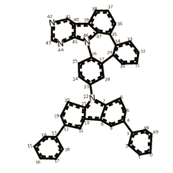 c1ccc(-c2ccc3c(c2)c2cc(-c4ccccc4)ccc2n3-c2ccc3c(c2)-c2ccccc2-c2cccc4c5cncnc5n-3c24)cc1